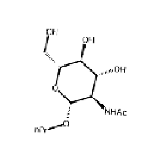 CCCO[C@@H]1O[C@H](CO)[C@@H](O)[C@H](O)[C@H]1NC(C)=O